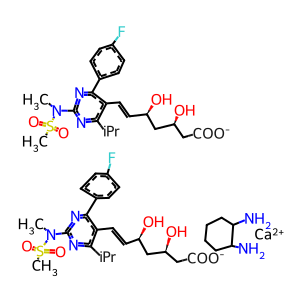 CC(C)c1nc(N(C)S(C)(=O)=O)nc(-c2ccc(F)cc2)c1C=C[C@@H](O)C[C@@H](O)CC(=O)[O-].CC(C)c1nc(N(C)S(C)(=O)=O)nc(-c2ccc(F)cc2)c1C=C[C@@H](O)C[C@@H](O)CC(=O)[O-].NC1CCCCC1N.[Ca+2]